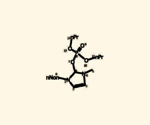 CCCCCCCCCN1C=CN(C)C1OP(=O)(OCCC)OCCC